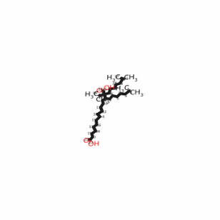 CC(C)CCCCCC(CCCCCCCCCCCCC(=O)O)C(CCCCCC(C)C)(C(=O)O)C(C)C